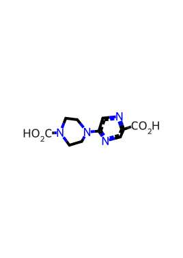 O=C(O)c1cnc(N2CCN(C(=O)O)CC2)cn1